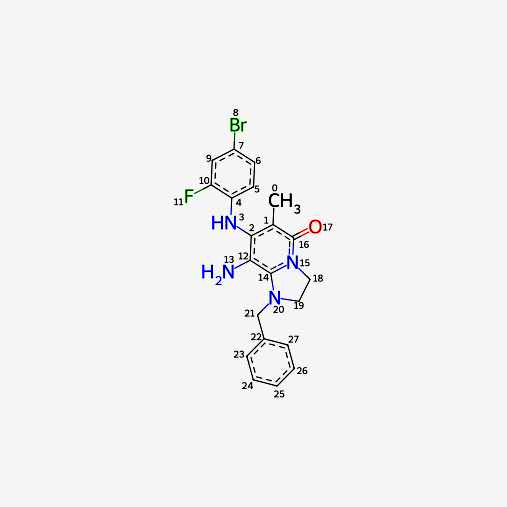 Cc1c(Nc2ccc(Br)cc2F)c(N)c2n(c1=O)CCN2Cc1ccccc1